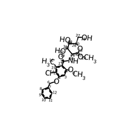 COc1cc(OCc2ccccc2)c(Cl)c(C)c1C(=O)N[C@H]1[C@@H](OC)O[C@H](CO)[C@@H](O)[C@@H]1O